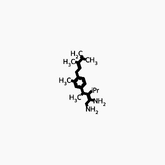 C=C(C)/C(C)=C/Cc1ccc(C(C)/C(=C(/N)CN)C(C)C)cc1C